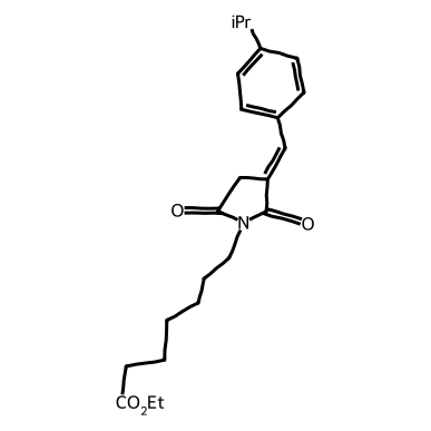 CCOC(=O)CCCCCCN1C(=O)C/C(=C\c2ccc(C(C)C)cc2)C1=O